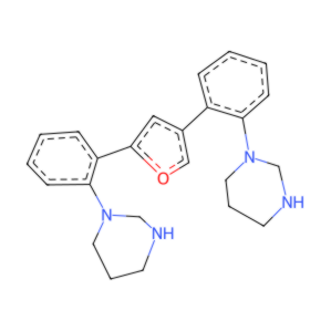 c1ccc(N2CCCNC2)c(-c2coc(-c3ccccc3N3CCCNC3)c2)c1